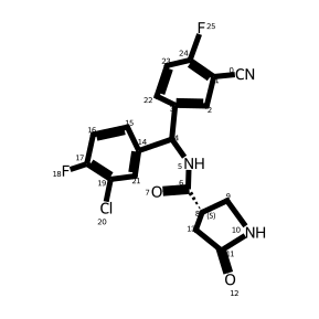 N#Cc1cc(C(NC(=O)[C@@H]2CNC(=O)C2)c2ccc(F)c(Cl)c2)ccc1F